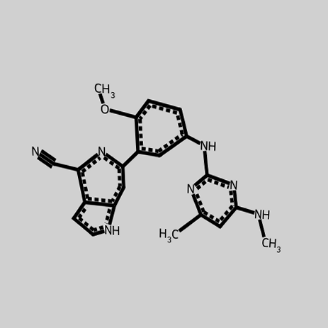 CNc1cc(C)nc(Nc2ccc(OC)c(-c3cc4[nH]ccc4c(C#N)n3)c2)n1